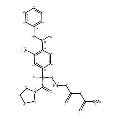 COC(=O)CC(=O)CNCC(C)(C(=O)N1CCCC1)c1ccc(N(C)Cc2ccccc2)c([N+](=O)[O-])c1